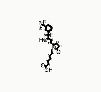 O=C(O)CCCCCCN1C(=O)CC[C@@H]1C=C[C@@H](O)C(F)(F)c1cccc(C(F)(F)F)c1